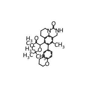 COC(=O)C(OC(C)(C)C)c1c2c3c(c(C)c1-c1ccc4c(c1)CCCO4)CNC(=O)N3CCC2